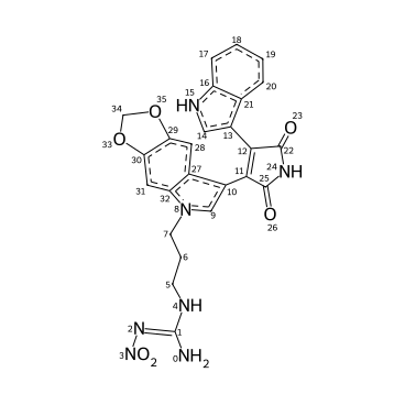 NC(=N[N+](=O)[O-])NCCCn1cc(C2=C(c3c[nH]c4ccccc34)C(=O)NC2=O)c2cc3c(cc21)OCO3